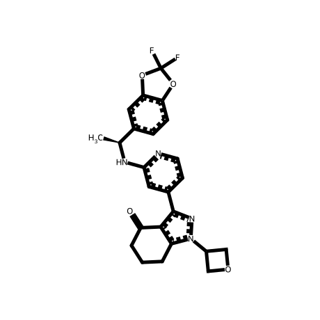 C[C@H](Nc1cc(-c2nn(C3COC3)c3c2C(=O)CCC3)ccn1)c1ccc2c(c1)OC(F)(F)O2